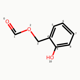 O=[C]OCc1ccccc1O